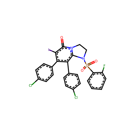 O=c1c(I)c(-c2ccc(Cl)cc2)c(-c2ccc(Cl)cc2)c2n1CCN2S(=O)(=O)c1ccccc1F